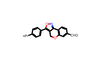 CCCc1ccc(-c2onc3c2COc2cc(C=O)ccc2-3)cc1